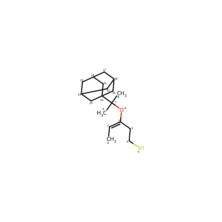 CC=C(CCS)OC(C)(C)C12CC3CC(CC(C3)C1)C2